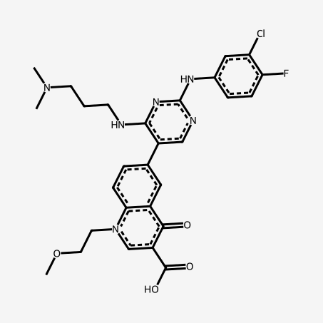 COCCn1cc(C(=O)O)c(=O)c2cc(-c3cnc(Nc4ccc(F)c(Cl)c4)nc3NCCCN(C)C)ccc21